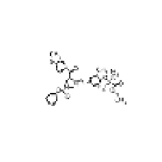 CCOC(=O)C(C)(C)Oc1ccc(CC[C@H]2CN(C(=O)Oc3ccccc3)CC2C(=O)c2ccc(SC)cc2)cc1C